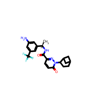 C[C@@H](NC(=O)c1ccc(=O)n(C2CCC3CC2C3)n1)c1cc(N)cc(C(F)(F)F)c1